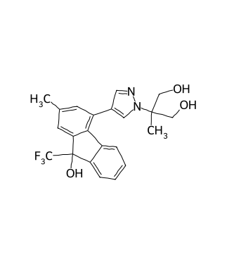 Cc1cc(-c2cnn(C(C)(CO)CO)c2)c2c(c1)C(O)(C(F)(F)F)c1ccccc1-2